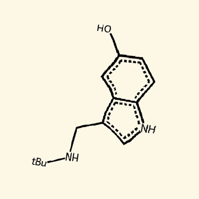 CC(C)(C)NCc1c[nH]c2ccc(O)cc12